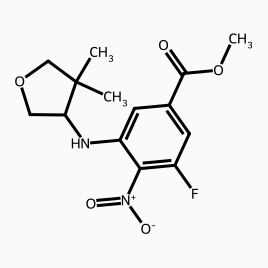 COC(=O)c1cc(F)c([N+](=O)[O-])c(NC2COCC2(C)C)c1